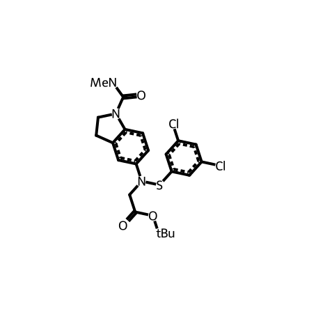 CNC(=O)N1CCc2cc(N(CC(=O)OC(C)(C)C)Sc3cc(Cl)cc(Cl)c3)ccc21